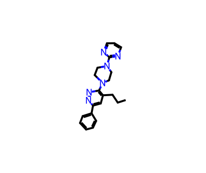 CCCc1cc(-c2ccccc2)nnc1N1CCN(c2ncccn2)CC1